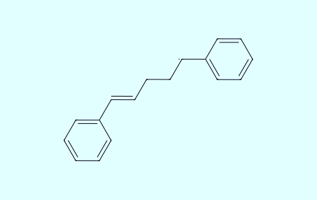 [CH](CCC=Cc1ccccc1)c1ccccc1